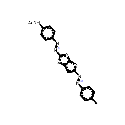 CC(=O)Nc1ccc(/N=N/c2nc3sc(/N=N/c4ccc(C)cc4)cc3s2)cc1